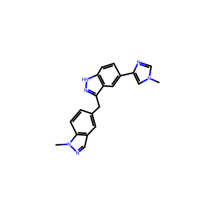 Cn1cnc(-c2ccc3[nH]nc(Cc4ccc5c(cnn5C)c4)c3c2)c1